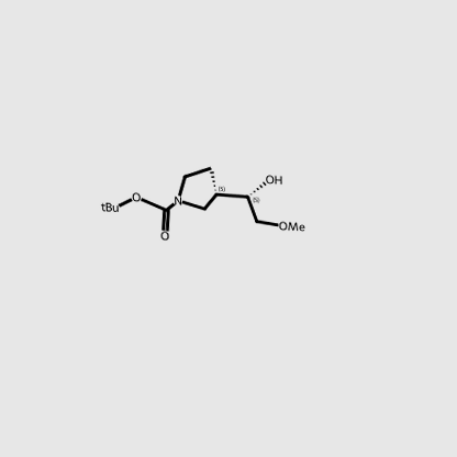 COC[C@@H](O)[C@H]1CCN(C(=O)OC(C)(C)C)C1